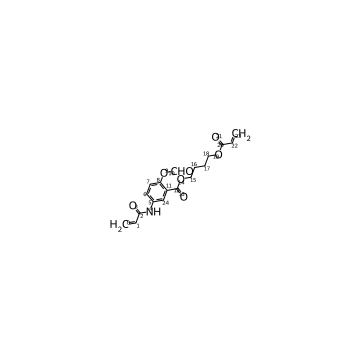 C=CC(=O)Nc1ccc(OC=O)c(C(=O)OCCCCOC(=O)C=C)c1